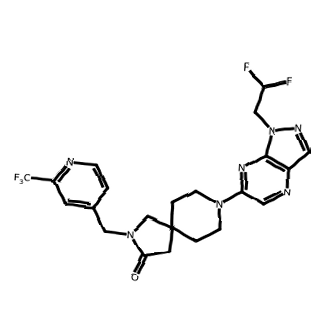 O=C1CC2(CCN(c3cnc4cnn(CC(F)F)c4n3)CC2)CN1Cc1ccnc(C(F)(F)F)c1